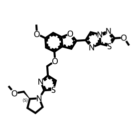 COC[C@@H]1CCCN1c1nc(COc2cc(OC)cc3oc(-c4cn5nc(OC)sc5n4)cc23)cs1